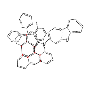 Cc1cccc2c1C(c1ccccc1)(c1ccccc1)c1cccc(-c3ccccc3N(c3ccc4c(c3)oc3ccccc34)c3ccccc3-c3cccc4cccc(C5CCCCC5)c34)c1-2